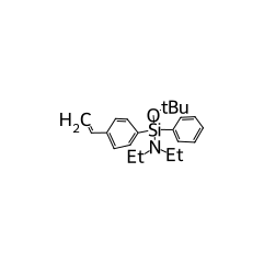 C=Cc1ccc([Si](OC(C)(C)C)(c2ccccc2)N(CC)CC)cc1